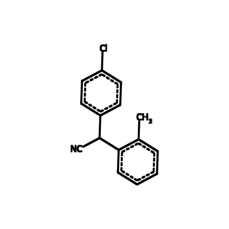 Cc1ccccc1C(C#N)c1ccc(Cl)cc1